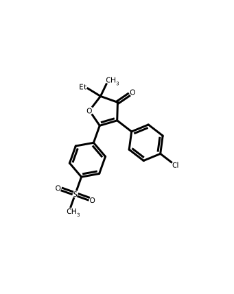 CCC1(C)OC(c2ccc(S(C)(=O)=O)cc2)=C(c2ccc(Cl)cc2)C1=O